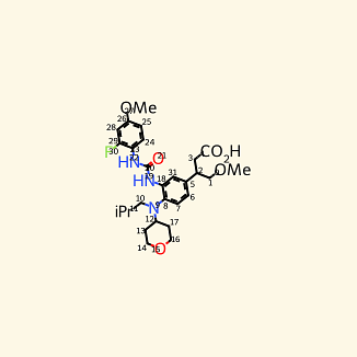 COCC(CC(=O)O)c1ccc(N(CC(C)C)C2CCOCC2)c(NC(=O)Nc2ccc(OC)cc2F)c1